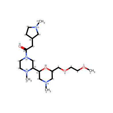 COCCOCC1CN(C)CC(C2CN(C(=O)CC3CCN(C)C3)CCN2C)O1